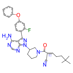 CC(C)(C)CC/C=C(\C#N)C(=O)N1CCCC(n2nc(-c3ccc(Oc4ccccc4)cc3F)c3c(N)ncnc32)C1